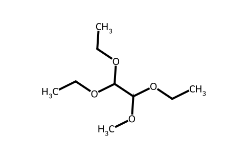 CCO[C](OC)C(OCC)OCC